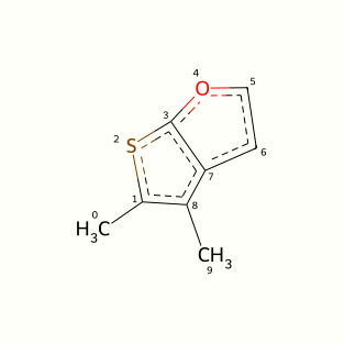 Cc1sc2occc2c1C